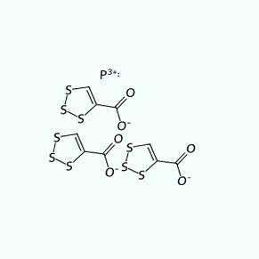 O=C([O-])C1=CSSS1.O=C([O-])C1=CSSS1.O=C([O-])C1=CSSS1.[P+3]